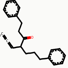 C=C=CC(CCCc1ccccc1)C(=O)CCc1ccccc1